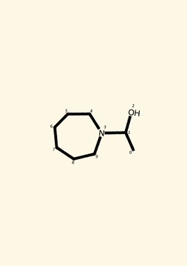 CC(O)N1CCCCCC1